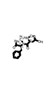 CN[C@H](CC(=O)O)C(=O)N(C)[C@@H](Cc1ccccc1)C(N)=O